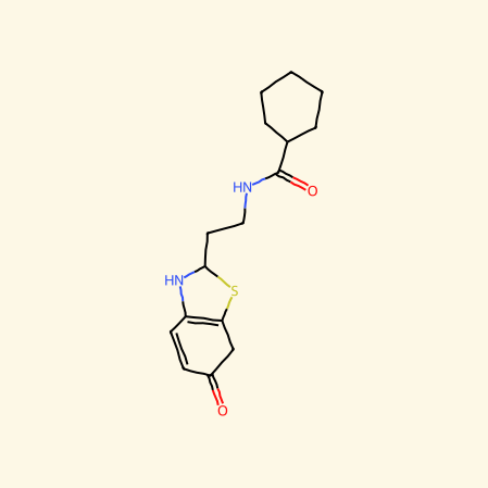 O=C1C=CC2=C(C1)SC(CCNC(=O)C1CCCCC1)N2